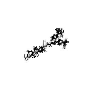 CCCC(C(=O)NC=O)N1C(=O)c2cc(F)c(NCCCCCN(c3ccc(C4(C#N)CC4)cc3)c3cc(-c4c(C)noc4C)ccc3C)cc2C1=O